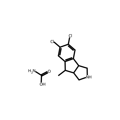 CC1c2cc(Cl)c(Cl)cc2C2CNCC12.NC(=O)O